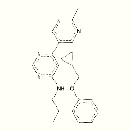 Cc1ccc(-c2cc(NCC(C)c3ccccc3OCC3CC3)ncn2)cn1